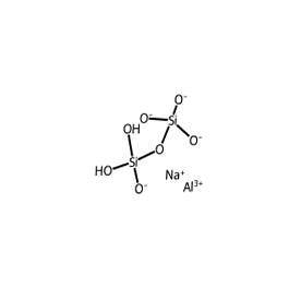 [Al+3].[Na+].[O-][Si]([O-])([O-])O[Si]([O-])(O)O